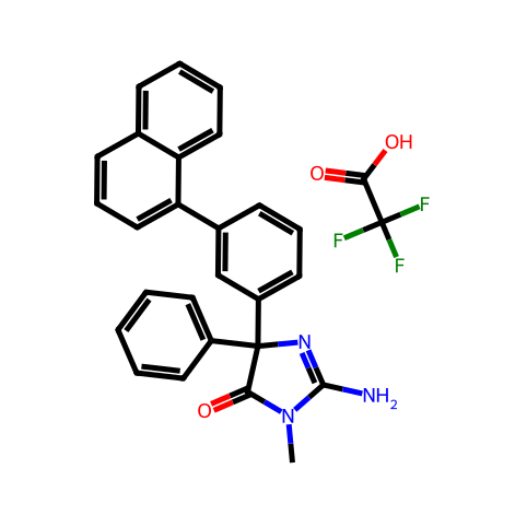 CN1C(=O)C(c2ccccc2)(c2cccc(-c3cccc4ccccc34)c2)N=C1N.O=C(O)C(F)(F)F